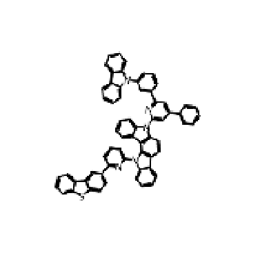 c1ccc(-c2cc(-c3cccc(-n4c5ccccc5c5ccccc54)c3)nc(-n3c4ccccc4c4c3ccc3c5ccccc5n(-c5cccc(-c6ccc7sc8ccccc8c7c6)n5)c34)c2)cc1